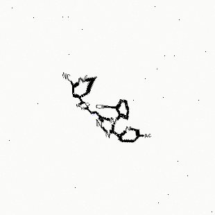 CC(=O)c1ccc(-c2nnc(/C=C/c3nnc(-c4ccnc(C#N)c4)o3)n2-c2ccccc2Cl)nc1